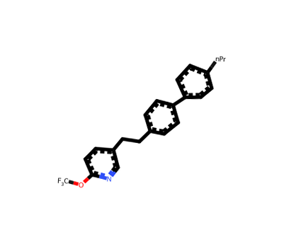 CCCc1ccc(-c2ccc(CCc3ccc(OC(F)(F)F)nc3)cc2)cc1